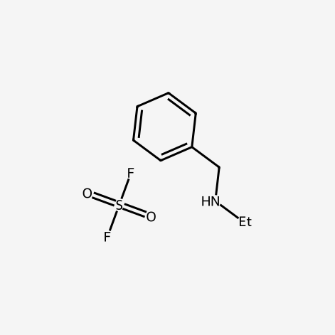 CCNCc1ccccc1.O=S(=O)(F)F